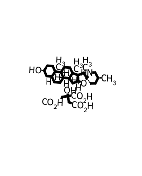 C[C@H]1CC[C@]2(NC1)O[C@H]1C[C@H]3[C@@H]4CC[C@H]5C[C@@H](O)CC[C@]5(C)[C@H]4CC[C@]3(C)[C@H]1[C@@H]2C.O=C(O)CC(O)(CC(=O)O)C(=O)O